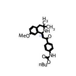 CCCCOC(=O)Nc1ccc(C(=O)/C=C2\NC(C)(C)Cc3ccc(OC)cc32)cc1